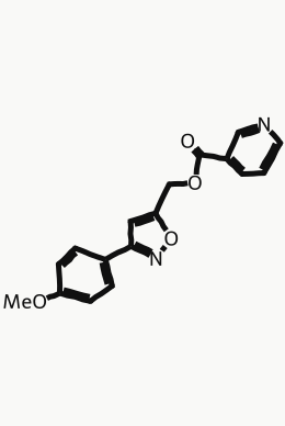 COc1ccc(-c2cc(COC(=O)c3cccnc3)on2)cc1